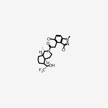 C[C@H]1[C@H]2CCCC([C@H](O)C(F)(F)F)[C@@H]2CCN1C(=O)Cc1c(Cl)ccc2c1c(Cl)nn2C